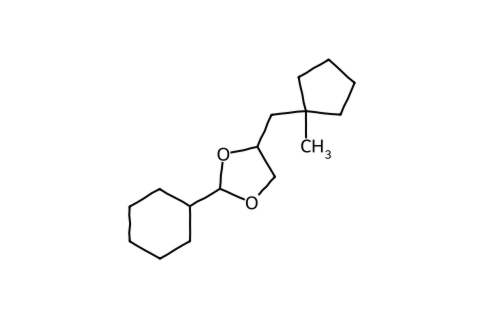 CC1(CC2COC(C3CCCCC3)O2)CCCC1